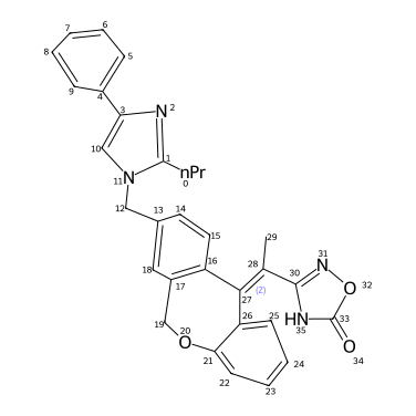 CCCc1nc(-c2ccccc2)cn1Cc1ccc2c(c1)COc1ccccc1/C2=C(/C)c1noc(=O)[nH]1